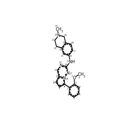 COc1ccccc1-c1ccc2cnc(Nc3ccc4c(c3)CCN(C)C4)nn12